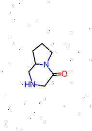 O=C1CNCC2CCCN12